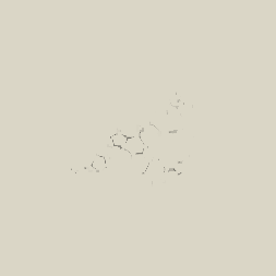 CCN(CC)S(=O)(=O)C1SC(Nc2nc(C3=CCCN(C(=O)OC(C)(C)C)C3)cn3c(-c4coc(C#N)c4)cnc23)=CC1C